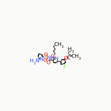 CCCCCOc1nc(-c2cc(F)cc(OCC(C)C)c2)ccc1C(=O)NS(=O)(=O)c1cccc(N)n1